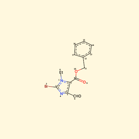 CCn1c(Br)nc(C=O)c1C(=O)OCc1ccccc1